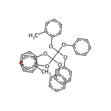 Cc1ccccc1OC(Oc1ccccc1)(Oc1ccccc1)C(Oc1ccccc1)(Oc1ccccc1)Oc1ccccc1C